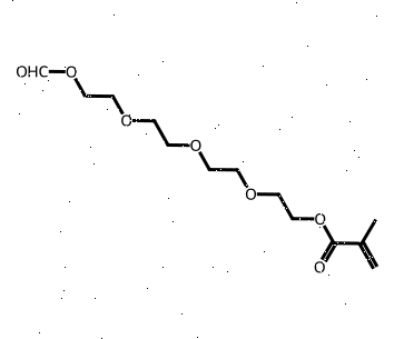 C=C(C)C(=O)OCCOCCOCCOCCOC=O